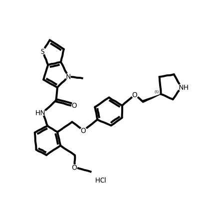 COCc1cccc(NC(=O)c2cc3sccc3n2C)c1COc1ccc(OC[C@H]2CCNC2)cc1.Cl